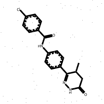 CC1CC(=O)NN=C1c1ccc(NC(=O)c2ccc(Cl)cc2)cc1